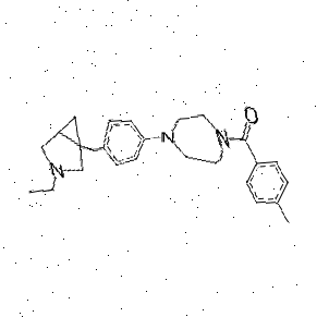 CCN1CC2CC2(c2ccc(N3CCN(C(=O)c4ccc(C)cc4)CC3)cc2)C1